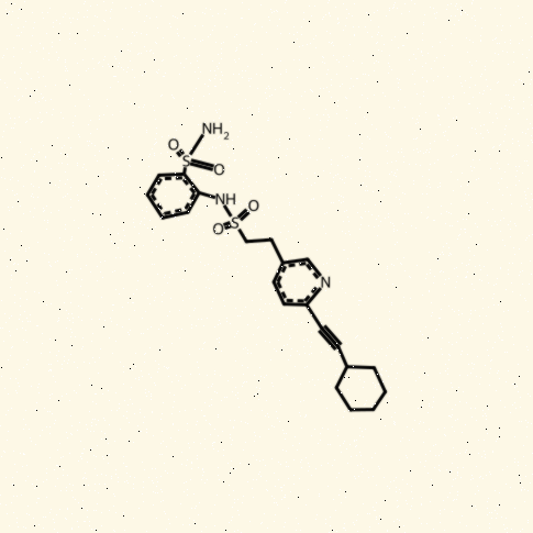 NS(=O)(=O)c1ccccc1NS(=O)(=O)CCc1ccc(C#CC2CCCCC2)nc1